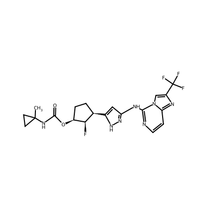 CC1(NC(=O)O[C@H]2CC[C@@H](c3cc(Nc4nccc5nc(C(F)(F)F)cn45)n[nH]3)[C@H]2F)CC1